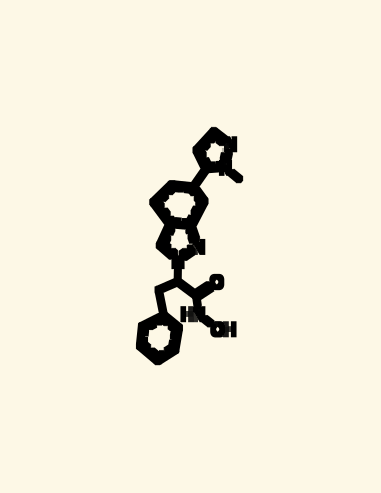 Cn1nccc1-c1ccc2cn(C(Cc3ccccc3)C(=O)NO)nc2c1